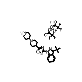 CC(C)(C)c1nn(-c2noc(C3CCN(C4CCNCC4)CC3)n2)c2ccccc12.O=C(O)C(F)(F)F.O=C(O)C(F)(F)F